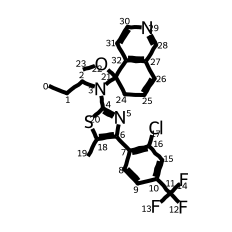 CCCN(c1nc(-c2ccc(C(F)(F)F)cc2Cl)c(C)s1)C1(OC)CC=Cc2cnccc21